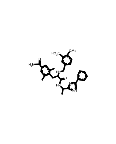 COc1ccc(CNC(Cc2c(C)cc(C(N)=O)cc2C)C(=O)NC(C)c2nc(-c3ccccc3)c[nH]2)cc1C(=O)O